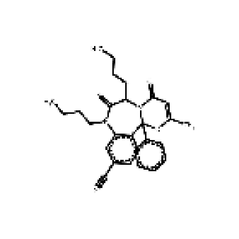 CCCCC1C(=S)N(CCCC)c2cc(C#N)ccc2C2(c3ccccc3)OC(C)=CC(=O)N12